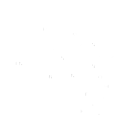 CC(C)CCn1c(N2CCC3CNCC32)nc2c1c(=O)n(C1CCCC1)c(=O)n2C.O=C(O)C(F)(F)F